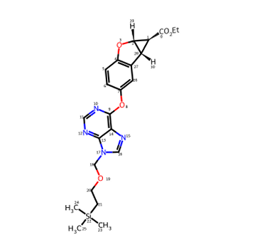 CCOC(=O)[C@@H]1[C@H]2Oc3ccc(Oc4ncnc5c4ncn5COCC[Si](C)(C)C)cc3[C@H]21